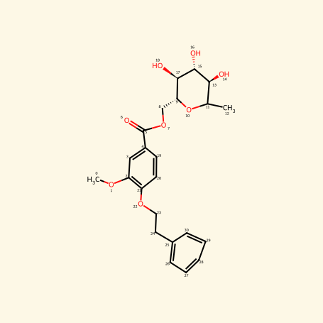 COc1cc(C(=O)OC[C@H]2OC(C)[C@H](O)[C@@H](O)[C@@H]2O)ccc1OCCc1ccccc1